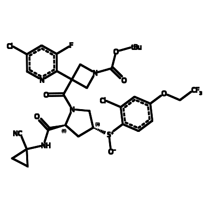 CC(C)(C)OC(=O)N1CC(C(=O)N2C[C@H]([S+]([O-])c3ccc(OCC(F)(F)F)cc3Cl)C[C@H]2C(=O)NC2(C#N)CC2)(c2ncc(Cl)cc2F)C1